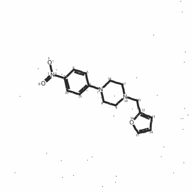 O=[N+]([O-])c1ccc(N2CCN(Cc3ccco3)CC2)cc1